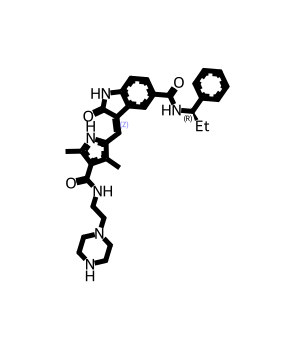 CC[C@@H](NC(=O)c1ccc2c(c1)/C(=C/c1[nH]c(C)c(C(=O)NCCN3CCNCC3)c1C)C(=O)N2)c1ccccc1